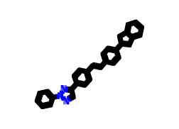 C(=Cc1ccc(-c2cnn(-c3ccccc3)n2)cc1)c1ccc(C2=Cc3ccccc3C2)cc1